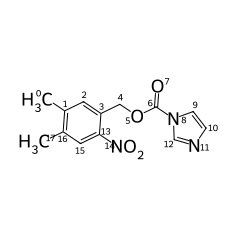 Cc1cc(COC(=O)n2ccnc2)c([N+](=O)[O-])cc1C